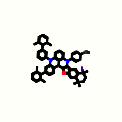 CC1=CC=CC(C)C1c1cccc(N2c3cc(-c4c(C)cccc4C)ccc3B3c4oc5cc6c(cc5c4N(C4=CCC(C(C)(C)C)C=C4)c4cccc2c43)C(C)(I)CCC6(C)C)c1